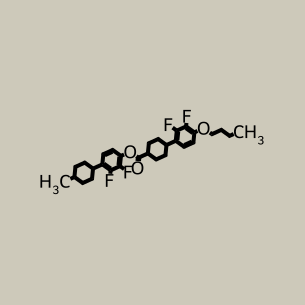 CCCCOc1ccc(C2CCC(C(=O)Oc3ccc(C4CCC(C)CC4)c(F)c3F)CC2)c(F)c1F